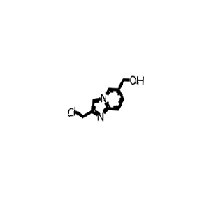 OCc1ccc2nc(CCl)cn2c1